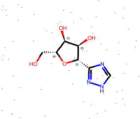 OC[C@H]1O[C@@H](c2nc[nH]n2)[C@H](O)[C@@H]1O